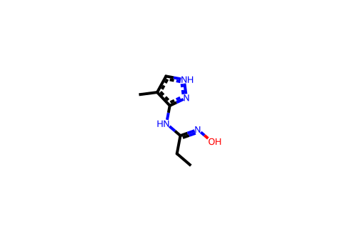 CCC(=NO)Nc1n[nH]cc1C